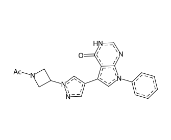 CC(=O)N1CC(n2cc(-c3cn(-c4ccccc4)c4nc[nH]c(=O)c34)cn2)C1